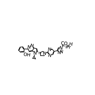 CC(C)[C@@H](C(=O)O)n1cc(-c2cnc(N3CC[C@H](c4cc5nnc(-c6ccccc6O)cc5n4C4CC4)C3)nc2)nn1